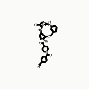 N#Cc1ccc(C(=O)N2CCC(C(=O)Nc3ccc4cc3CCc3cccc(c3)Nc3ncc(Cl)c(n3)N4)CC2)cc1